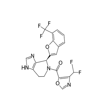 O=C(c1ocnc1C(F)F)N1CCc2[nH]cnc2[C@H]1c1cc2cccc(C(F)(F)F)c2o1